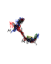 CC(C)(C)C(NC(=O)COCCCOCCCCOc1ccc(N2C(=S)N(c3ccc(C#N)c(Cl)c3)C(=O)C2(C)C)c(F)c1)C(=O)N1C[C@H](O)C[C@H]1C(=O)NCc1ccc(-c2cnco2)cc1